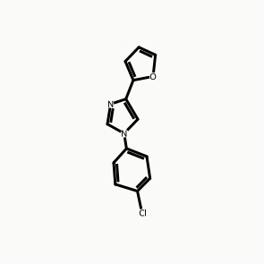 Clc1ccc(-n2cnc(-c3ccco3)c2)cc1